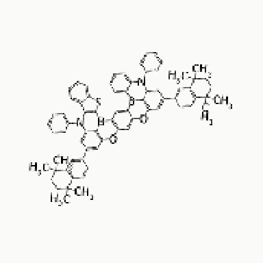 CC1(C)CCC(C)(C)c2cc(-c3cc4c5c(c3)N(c3ccccc3)c3ccccc3B5c3cc5c(cc3O4)Oc3cc(-c4ccc6c(c4)C(C)(C)CCC6(C)C)cc4c3B5c3sc5ccccc5c3N4c3ccccc3)ccc21